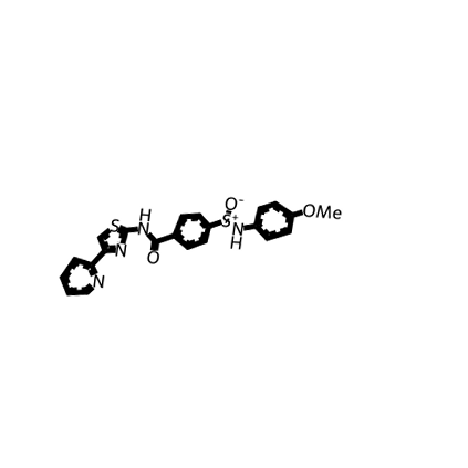 COc1ccc(N[S+]([O-])c2ccc(C(=O)Nc3nc(-c4ccccn4)cs3)cc2)cc1